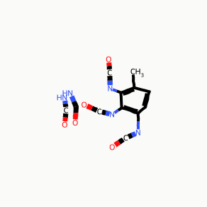 Cc1ccc(N=C=O)c(N=C=O)c1N=C=O.N=C=O.N=C=O